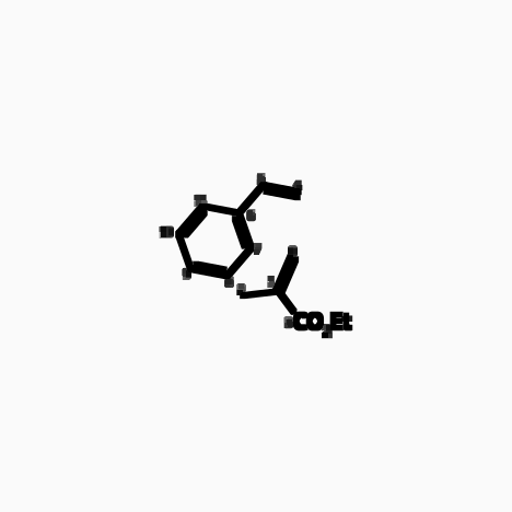 C=C(C)C(=O)OCC.C=Cc1ccccc1